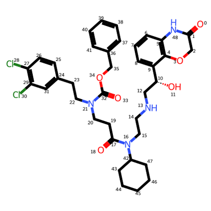 O=C1COc2c(cccc2[C@H](O)CNCCN(C(=O)CCN(CCc2ccc(Cl)c(Cl)c2)C(=O)OCc2ccccc2)C2CCCCC2)N1